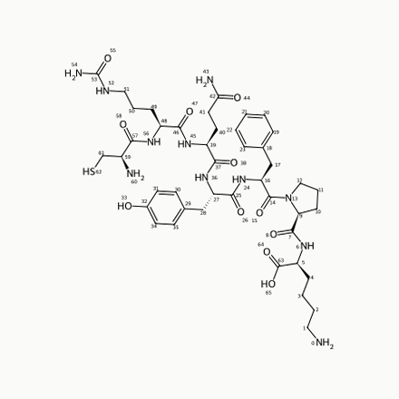 NCCCC[C@H](NC(=O)[C@@H]1CCCN1C(=O)[C@H](Cc1ccccc1)NC(=O)[C@H](Cc1ccc(O)cc1)NC(=O)[C@H](CCC(N)=O)NC(=O)[C@H](CCCNC(N)=O)NC(=O)[C@@H](N)CS)C(=O)O